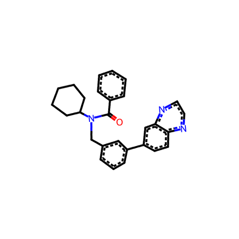 O=C(c1ccccc1)N(Cc1cccc(-c2ccc3nccnc3c2)c1)C1CCCCC1